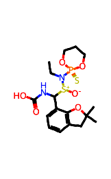 CCN([S+]([O-])C(NC(=O)O)c1cccc2c1OC(C)(C)C2)P1(=S)OCCCO1